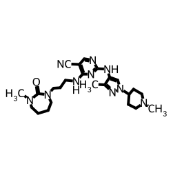 Cc1nn(C2CCN(C)CC2)cc1Nc1ncc(C#N)c(NCCCN2CCCCN(C)C2=O)n1